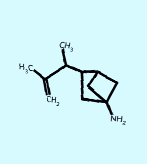 C=C(C)C(C)C1CC2(N)CC1C2